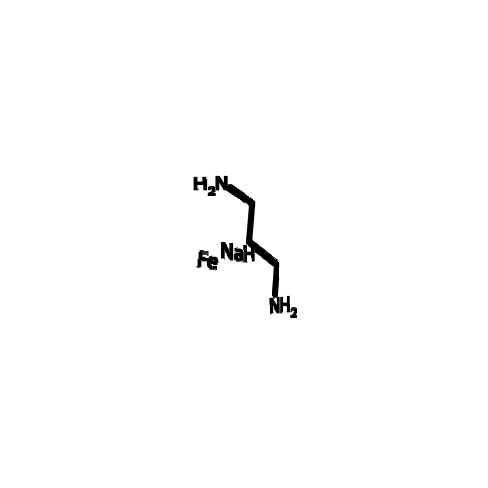 NCCCN.[Fe].[NaH]